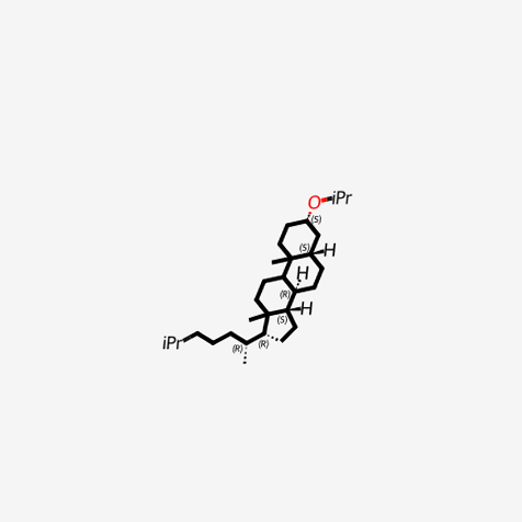 CC(C)CCC[C@@H](C)[C@H]1CC[C@H]2[C@@H]3CC[C@H]4C[C@@H](OC(C)C)CCC4(C)C3CCC12C